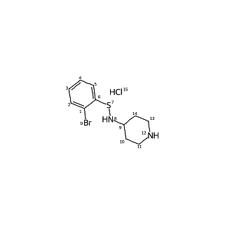 Brc1ccccc1SNC1CCNCC1.Cl